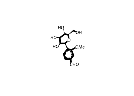 COc1cc(C=O)ccc1[C@@H]1O[C@H](CO)[C@@H](O)[C@H](O)[C@@H]1O